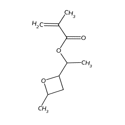 C=C(C)C(=O)OC(C)C1CC(C)O1